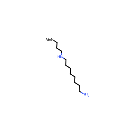 CNCCCNCCCCCCCCN